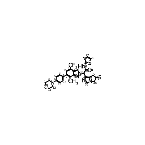 Cc1c(-c2ccc(N3CCOCC3)cc2)cc(C(F)(F)F)c2cn(C(C(=O)Nc3nccs3)c3ncn4c3C[C@@H](F)C4)nc12